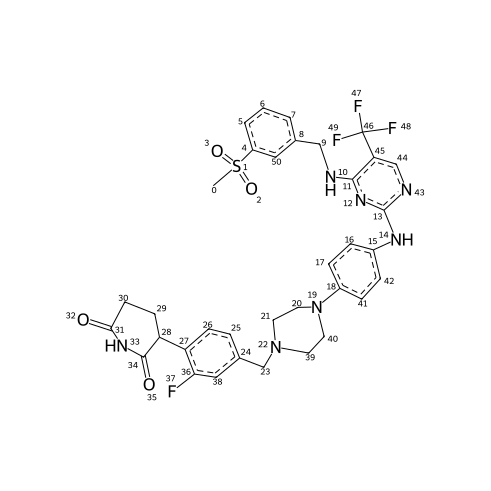 CS(=O)(=O)c1cccc(CNc2nc(Nc3ccc(N4CCN(Cc5ccc(C6CCC(=O)NC6=O)c(F)c5)CC4)cc3)ncc2C(F)(F)F)c1